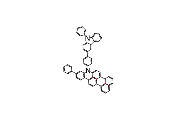 c1ccc(-c2ccc(-c3ccc(-c4ccccc4)cc3N(c3ccc(-c4ccccc4)cc3)c3ccc(-c4ccc5c(c4)c4ccccc4n5-c4ccccc4)cc3)cc2)cc1